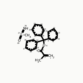 C.C=C(C)C(=O)OC(c1ccccc1)(c1ccccc1)c1ccccc1.N=C=O